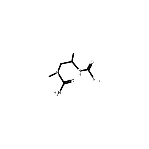 CC(CN(C)C(N)=O)NC(N)=O